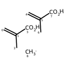 C=C(C)C(=O)O.C=C(C)C(=O)O.[CH3]